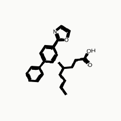 CCCCC(C)CCC(=O)O.c1ccc(-c2ccc(-c3ncco3)cc2)cc1